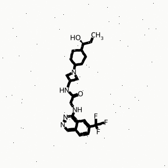 CC[C@H](O)C1CCC(N2CC(NC(=O)CNc3nncc4ccc(C(F)(F)F)cc34)C2)CC1